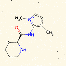 Cc1ccn(C)c1NC(=O)[C@@H]1CCCCN1